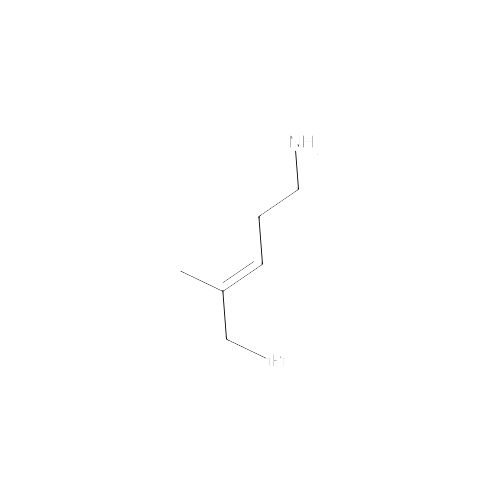 CC(=CCCN)CC(C)C